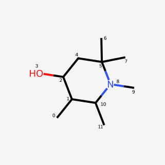 CC1C(O)CC(C)(C)N(C)C1C